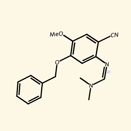 COc1cc(C#N)c(/N=C\N(C)C)cc1OCc1ccccc1